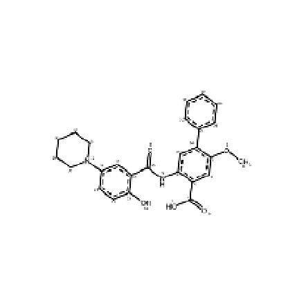 COc1cc(C(=O)O)c(NC(=O)c2cc(N3CCCCC3)ccc2O)cc1-c1ccccc1